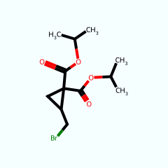 CC(C)OC(=O)C1(C(=O)OC(C)C)CC1CBr